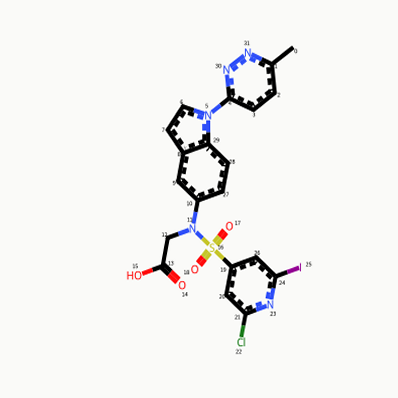 Cc1ccc(-n2ccc3cc(N(CC(=O)O)S(=O)(=O)c4cc(Cl)nc(I)c4)ccc32)nn1